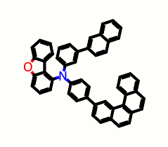 c1cc(-c2ccc3ccccc3c2)cc(N(c2ccc(-c3ccc4ccc5ccc6ccccc6c5c4c3)cc2)c2cccc3oc4ccccc4c23)c1